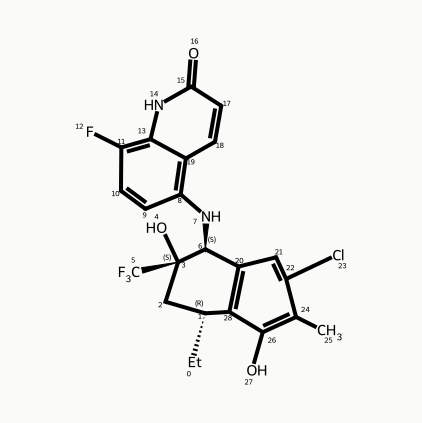 CC[C@@H]1C[C@@](O)(C(F)(F)F)[C@@H](Nc2ccc(F)c3[nH]c(=O)ccc23)c2cc(Cl)c(C)c(O)c21